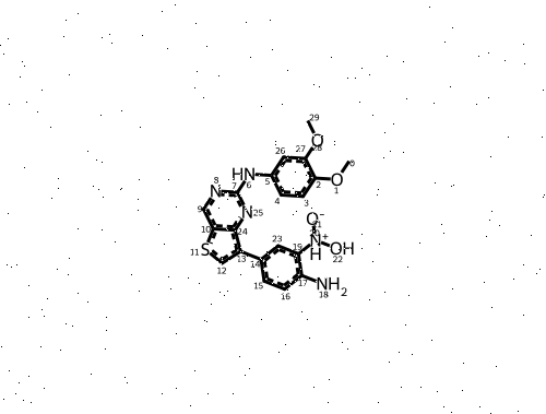 COc1ccc(Nc2ncc3scc(-c4ccc(N)c([NH+]([O-])O)c4)c3n2)cc1OC